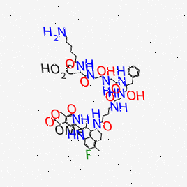 CO[C@H]1C(=O)OCc2c1cc(C1=C(C)C3=C4C(=C(C)C(F)=CC4N1)CC[C@@H]3NC(=O)CCCNC(=O)CNC(O)C(Cc1ccccc1)NC(=O)CNC(O)CNC(=O)[C@H](CC(=O)O)NC(=O)CCCCCN)[nH]c2=O